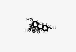 O=C(c1ccc(O)cc1O)C1C=CC(O)=CC1(O)S(=O)(=O)O